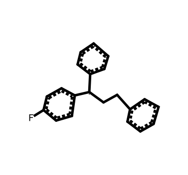 Fc1ccc([C](CCc2ccccc2)c2ccccc2)cc1